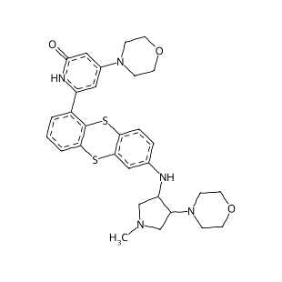 CN1CC(Nc2ccc3c(c2)Sc2cccc(-c4cc(N5CCOCC5)cc(=O)[nH]4)c2S3)C(N2CCOCC2)C1